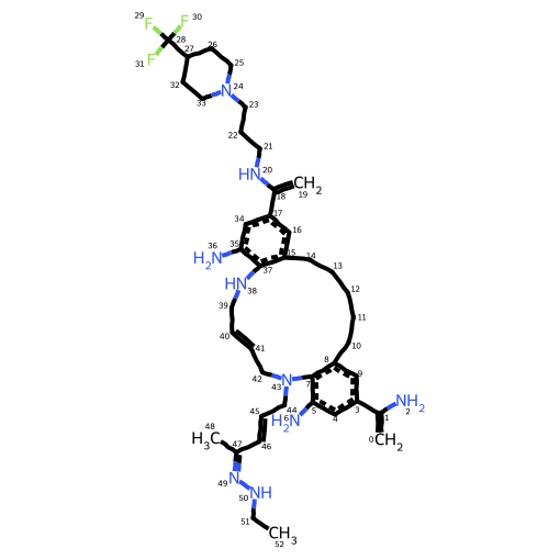 C=C(N)c1cc(N)c2c(c1)CCCCCc1cc(C(=C)NCCCN3CCC(C(F)(F)F)CC3)cc(N)c1NC/C=C/CN2C/C=C/C(C)=N\NCC